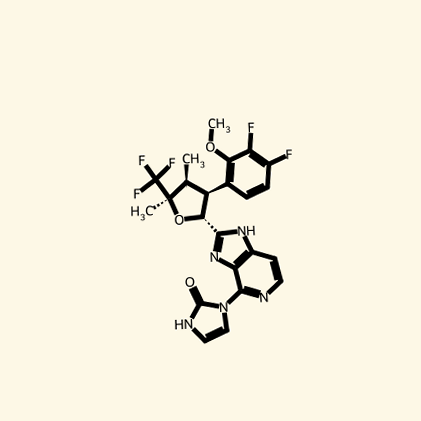 COc1c([C@H]2[C@H](c3nc4c(-n5cc[nH]c5=O)nccc4[nH]3)O[C@@](C)(C(F)(F)F)[C@H]2C)ccc(F)c1F